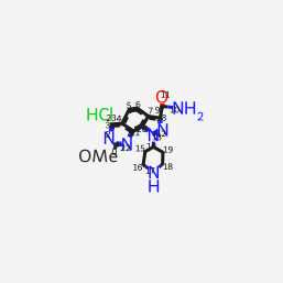 COc1ncc2ccc3c(C(N)=O)nn(C4CCNCC4)c3c2n1.Cl